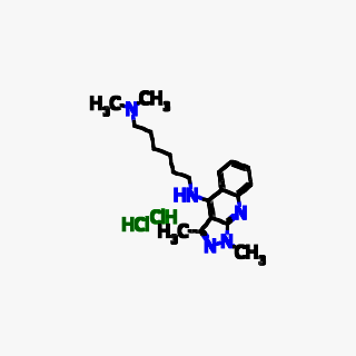 Cc1nn(C)c2nc3ccccc3c(NCCCCCCN(C)C)c12.Cl.Cl